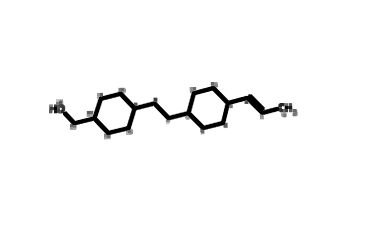 C/C=C/C1CCC(CCC2CCC(CO)CC2)CC1